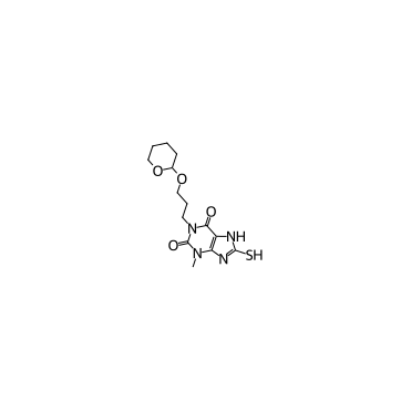 Cn1c(=O)n(CCCOC2CCCCO2)c(=O)c2[nH]c(S)nc21